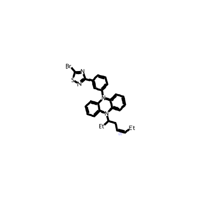 CC/C=C\CC(CC)N1c2ccccc2N(c2cccc(-c3nsc(Br)n3)c2)c2ccccc21